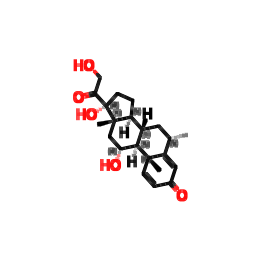 C[C@H]1C[C@@H]2[C@H]([C@H](O)C[C@@]3(C)[C@H]2CC[C@]3(O)C(=O)CO)[C@@]2(C)C=CC(=O)C=C12